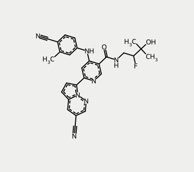 Cc1cc(Nc2cc(-c3ccc4cc(C#N)cnn34)ncc2C(=O)NCC(F)C(C)(C)O)ccc1C#N